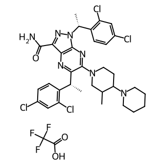 CC1CN(c2nc3c(nc2[C@H](C)c2ccc(Cl)cc2Cl)c(C(N)=O)nn3[C@H](C)c2ccc(Cl)cc2Cl)CCC1N1CCCCC1.O=C(O)C(F)(F)F